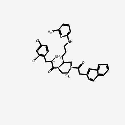 C[C@@H]1CN(C(=O)[C@H](N)Cc2ccc(Cl)cc2Cl)[C@@H](CCCNc2cccc(N)n2)CN1C(=O)Cc1ccc2ccccc2c1